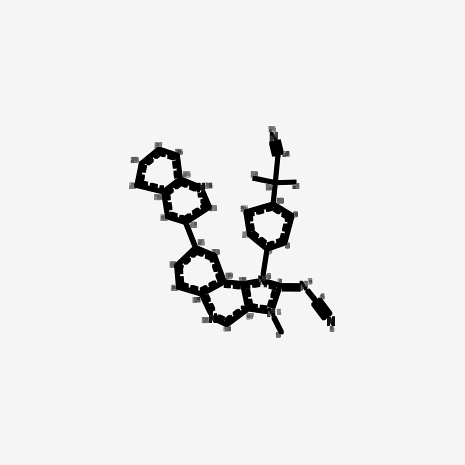 Cn1c(=NC#N)n(-c2ccc(C(C)(C)C#N)cc2)c2c3cc(-c4cnc5ccccc5c4)ccc3ncc21